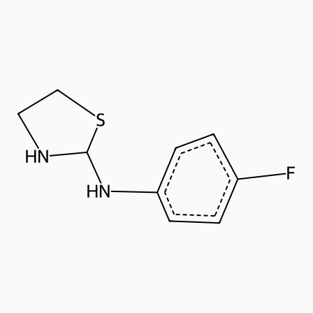 Fc1ccc(NC2NCCS2)cc1